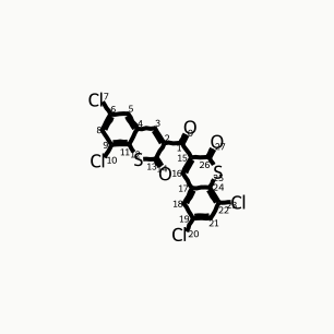 O=C(c1cc2cc(Cl)cc(Cl)c2sc1=O)c1cc2cc(Cl)cc(Cl)c2sc1=O